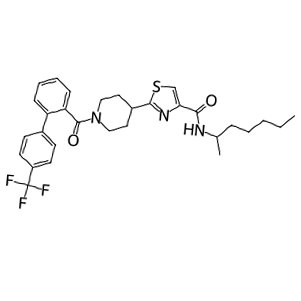 CCCCCC(C)NC(=O)c1csc(C2CCN(C(=O)c3ccccc3-c3ccc(C(F)(F)F)cc3)CC2)n1